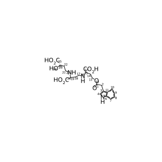 O=C(Cc1c[nH]c2ccccc12)OCCC(NCCC(NCC[C@H](O)C(=O)O)C(=O)O)C(=O)O